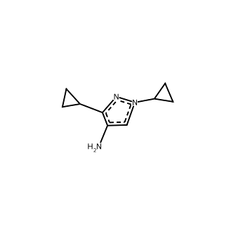 Nc1cn(C2CC2)nc1C1CC1